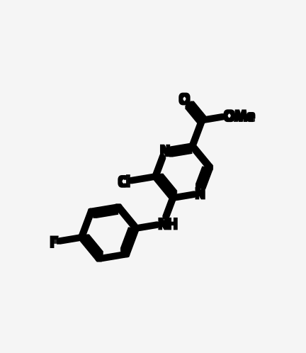 COC(=O)c1cnc(Nc2ccc(F)cc2)c(Cl)n1